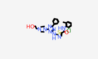 Cc1cccc(Cl)c1NC(=O)c1cnc(Nc2nc(-c3ccccc3)nc(N3CCN(CCO)CC3)n2)s1